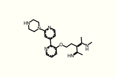 CN/C(C)=C(/CCOc1cccnc1-c1ccnc(N2CCNCC2)c1)C(C)=N